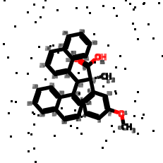 COc1cccc([C@](C)(C(=O)O)C(c2cccc3ccccc23)c2cccc3ccccc23)c1